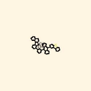 CC1(C)c2ccc3ccccc3c2-c2cccc(-c3cccc(-c4c5ccccc5c(-c5ccc6sc7ccccc7c6c5)c5ccccc45)c3)c21